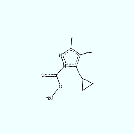 Cc1nn(C(=O)OC(C)(C)C)c(C2CC2)c1C